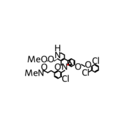 CNC(=O)CCc1ccc(Cl)c(CN(C(=O)C2=C(c3ccc(OCCOc4c(Cl)cccc4Cl)cc3)CCN[C@@H]2COCOC)C2CC2)c1